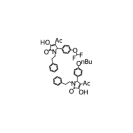 CC(=O)C1=C(O)C(=O)N(CCc2ccccc2)C1c1ccc(OC(F)F)cc1.CCCCOc1ccc(C2C(C(C)=O)=C(O)C(=O)N2CCc2ccccc2)cc1